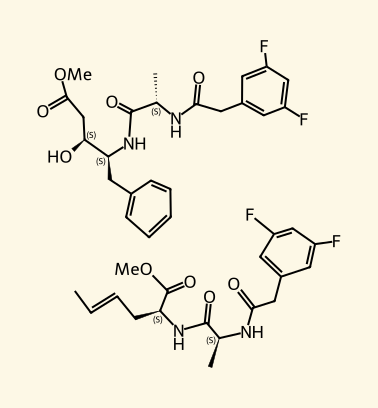 CC=CC[C@H](NC(=O)[C@H](C)NC(=O)Cc1cc(F)cc(F)c1)C(=O)OC.COC(=O)C[C@H](O)[C@H](Cc1ccccc1)NC(=O)[C@H](C)NC(=O)Cc1cc(F)cc(F)c1